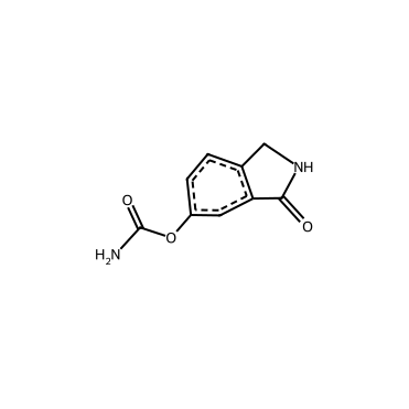 NC(=O)Oc1ccc2c(c1)C(=O)NC2